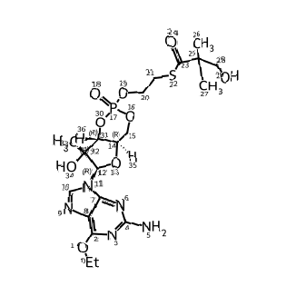 CCOc1nc(N)nc2c1ncn2[C@@H]1O[C@@H]2COP(=O)(OCCSC(=O)C(C)(C)CO)O[C@H]2[C@@]1(C)O